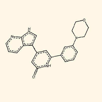 O=c1cc(-c2c[nH]c3ncccc23)cc(-c2cccc(N3CCOCC3)c2)[nH]1